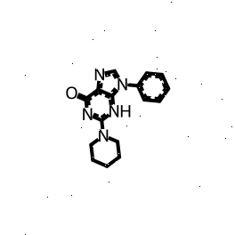 O=c1nc(N2CCCCC2)[nH]c2c1ncn2-c1ccccc1